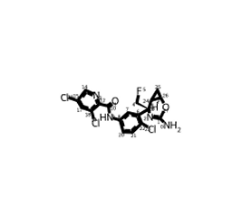 NC1=N[C@](CF)(c2cc(NC(=O)c3ncc(Cl)cc3Cl)ccc2Cl)C2C[C@H]2O1